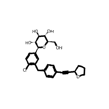 OC[C@H]1O[C@@H](c2ccc(Cl)c(Cc3ccc(C#CC4CCCO4)cc3)c2)[C@H](O)[C@@H](O)[C@@H]1O